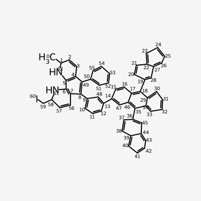 CC1C=Cc2c(c3c(c(-c4cccc(-c5ccc6c(-c7ccc8ccccc8c7)c7ccccc7c(-c7ccc8ccccc8c7)c6c5)c4)c2-c2ccccc2)C=CC(CI)N3)N1